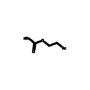 CCCCC(=O)OCCC(C)=O